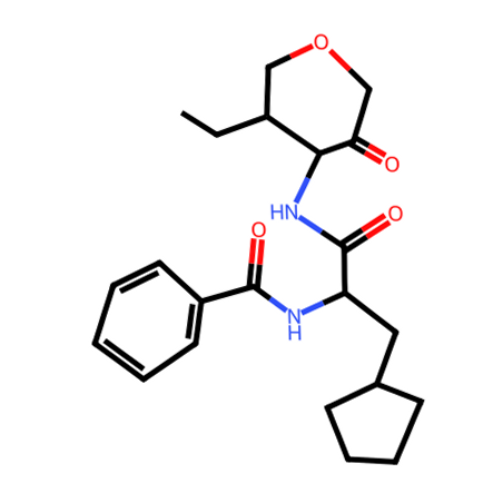 CCC1COCC(=O)C1NC(=O)C(CC1CCCC1)NC(=O)c1ccccc1